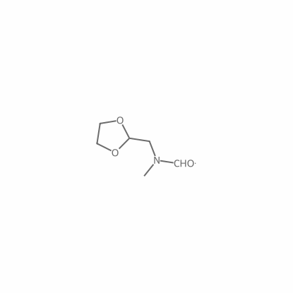 CN([C]=O)CC1OCCO1